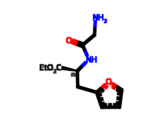 CCOC(=O)[C@H](Cc1ccco1)NC(=O)CN